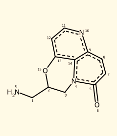 NCC1Cn2c(=O)ccc3nccc(c32)O1